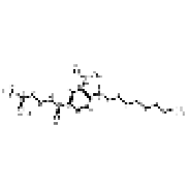 CCCCCCCCNc1ccc(C(=O)OCCN(C)C)cc1[N+](=O)[O-]